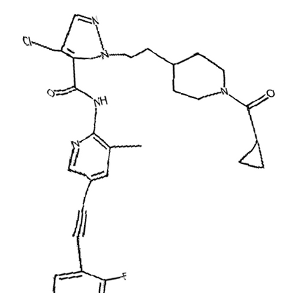 Cc1cc(C#Cc2ccccc2F)cnc1NC(=O)c1c(Cl)cnn1CCC1CCN(C(=O)C2CC2)CC1